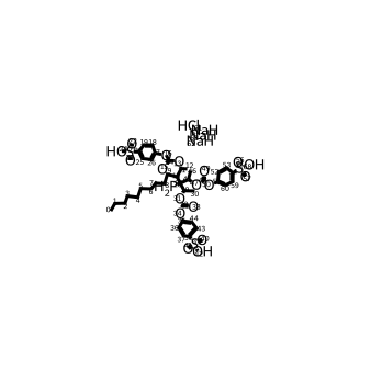 CCCCCCCCCCC(C(C)OC(=O)Oc1ccc(S(=O)(=O)O)cc1)C(P)(C(C)OC(=O)Oc1ccc(S(=O)(=O)O)cc1)C(C)OC(=O)Oc1ccc(S(=O)(=O)O)cc1.Cl.[NaH].[NaH].[NaH]